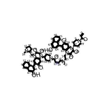 C=CC(=O)N1CCC(n2c(=O)c(=O)n(CCN(C)C/C=C\C(=O)N3CCC(n4c(=O)c(=O)n(C[C@@H]5CCCN5C)c5cc(-c6cc(O)cc7ccccc67)c(Cl)cc54)CC3)c3cc(-c4cc(O)cc5ccccc45)c(Cl)cc32)CC1